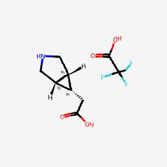 O=C(O)C(F)(F)F.O=C(O)C[C@@H]1[C@@H]2CNC[C@@H]21